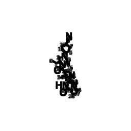 CCC1CN(c2ccc(C#N)cc2)CC(C)N1C(=O)c1cnn(-c2nn3cccc3c(=O)[nH]2)c1C